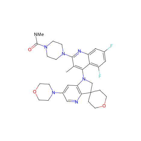 CNC(=O)N1CCN(c2nc3cc(F)cc(F)c3c(N3CC4(CCOCC4)c4ncc(N5CCOCC5)cc43)c2C)CC1